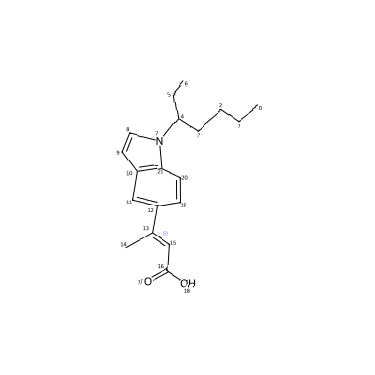 CCCCC(CC)n1ccc2cc(/C(C)=C/C(=O)O)ccc21